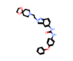 O=C(Nc1ccc(Oc2ccccc2)cc1)Nc1ccc2nn(CCN3CCC4(CC3)OCCO4)cc2c1